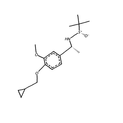 COc1cc([C@@H](C)N[S@@+]([O-])C(C)(C)C)ccc1OCC1CC1